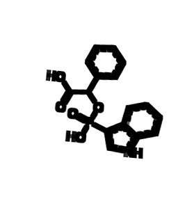 O=C(O)C(OP(=O)(O)c1c[nH]c2ccccc12)c1ccccc1